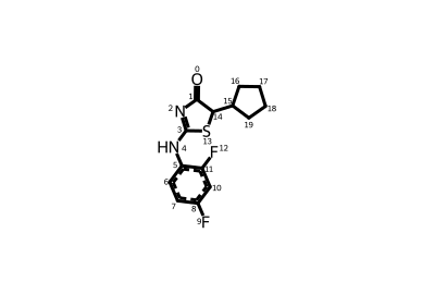 O=C1N=C(Nc2ccc(F)cc2F)SC1C1CCCC1